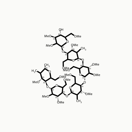 COCC1O[C@@H](O[C@@H]2C(COC)O[C@H](O[C@@H]3C(COC)O[C@@H](O[C@@H]4C(COC)O[C@H](O[C@@H]5C(COC)O[C@@H](O[C@@H]6C(COC)O[C@@H](C)C(C)[C@H]6OC)C(OC)[C@H]5OC)C(C)[C@H]4OC)C(OC)[C@H]3OC)C(C)[C@H]2OC)C(OC)[C@@H](OC)[C@@H]1O